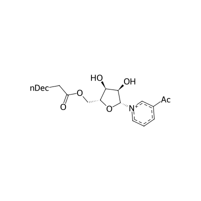 CCCCCCCCCCCC(=O)OC[C@H]1O[C@@H]([n+]2cccc(C(C)=O)c2)[C@H](O)[C@@H]1O